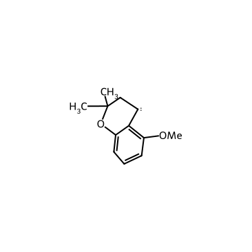 COc1cccc2c1[C]CC(C)(C)O2